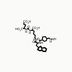 CCCNCC1CCC(C(=O)NC(Cc2ccc3ccccc3c2)C(=O)NCCCCC(NC(=O)NC(CCC(=O)O)C(=O)O)C(=O)O)CC1